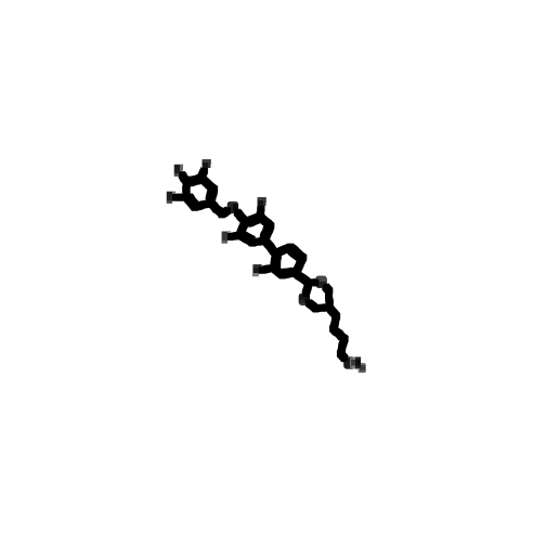 CCCCCC1COC(c2ccc(-c3cc(F)c(OCc4cc(F)c(F)c(F)c4)c(F)c3)c(F)c2)OC1